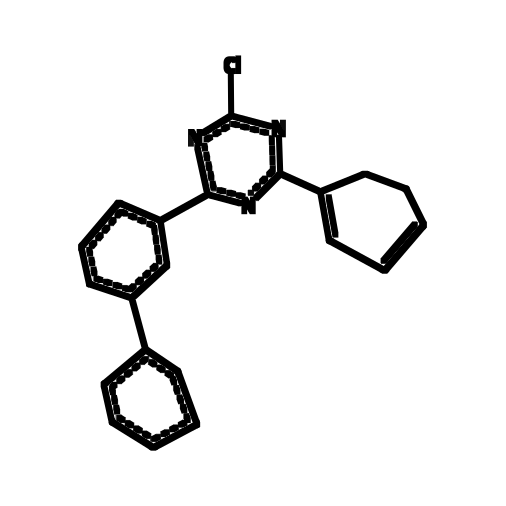 Clc1nc(C2=CC=CCC2)nc(-c2cccc(-c3ccccc3)c2)n1